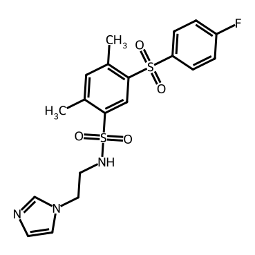 Cc1cc(C)c(S(=O)(=O)c2ccc(F)cc2)cc1S(=O)(=O)NCCn1ccnc1